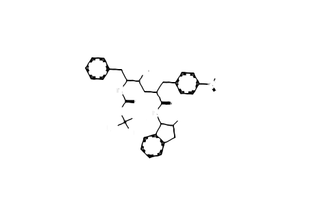 CC(C)(C)OC(=O)NC(Cc1ccccc1)C(O)CC(Cc1ccc([N+](=O)[O-])cc1)C(=O)NC1c2ccccc2CC1O